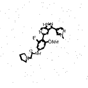 COc1cc(NC(=O)CN2CCCC2)cc(F)c1-c1cc2c(-c3cnn(C)c3)n[nH]c2cn1